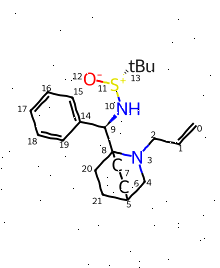 C=CCN1CC2CCC1([C@H](N[S@+]([O-])C(C)(C)C)c1ccccc1)CC2